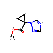 COC(=O)C1(n2cncn2)CC1